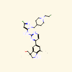 C[C@]1(CO)CNc2c(C#N)cc(-c3ccnc(Nc4cc(Cl)nn4CC4CCN(CCF)CC4)n3)cc21